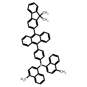 Cc1ccc(N(c2ccc(-c3c4ccccc4c(-c4ccc5c(c4)C(C)(C)c4ccccc4-5)c4ccccc34)cc2)c2ccc(C)c3ccccc23)c2ccccc12